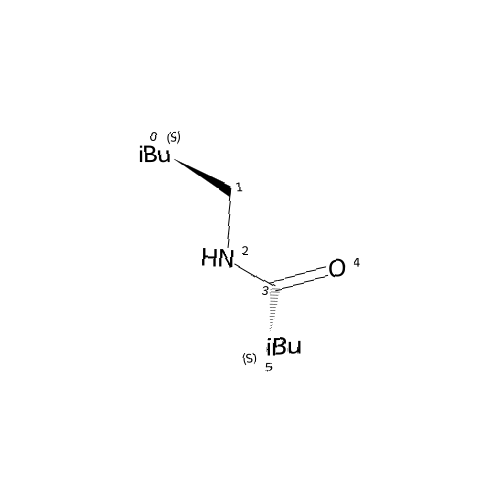 CC[C@H](C)CNC(=O)[C@@H](C)CC